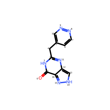 O=c1[nH]c(Cc2ccnnc2)nc2c[nH]nc12